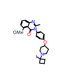 COc1cccc2nc(C)n(-c3ccc(OC4CCN(C5(I)CCC5)CC4)cc3)c(=O)c12